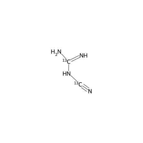 N#[13C]N[13C](=N)N